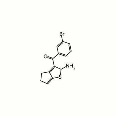 NC1SC2=CCCC2=C1C(=O)c1cccc(Br)c1